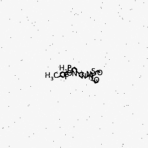 CCc1ccc(COc2nc(C3=CCN(Cc4nc5sc(C=O)cc5n4CC4CCO4)CC3)ccc2P)c(F)c1